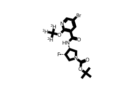 [2H]C([2H])([2H])Oc1ncc(Br)cc1C(=O)N[C@@H]1CN(C(=O)OC(C)(C)C)C[C@@H]1F